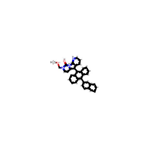 COCn1ccc2c(-c3c4ccccc4c(-c4ccc5ccccc5c4)c4ccccc34)c3cccnc3n2c1=O